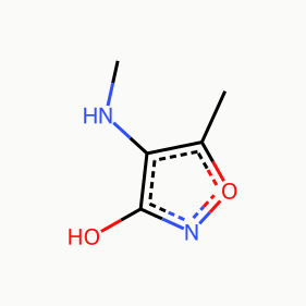 CNc1c(O)noc1C